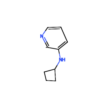 [c]1ncccc1NC1CCC1